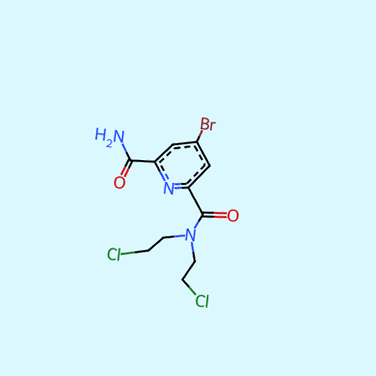 NC(=O)c1cc(Br)cc(C(=O)N(CCCl)CCCl)n1